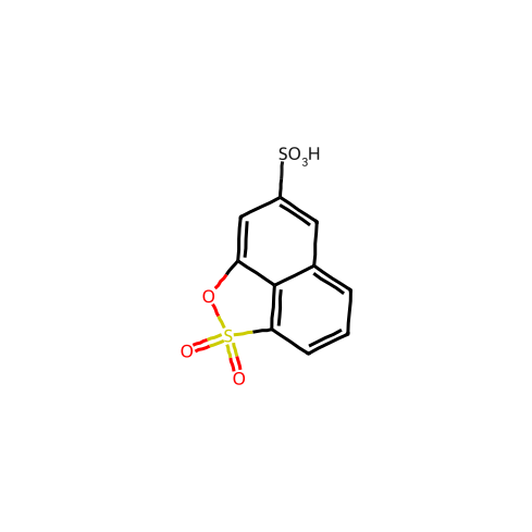 O=S(=O)(O)c1cc2c3c(cccc3c1)S(=O)(=O)O2